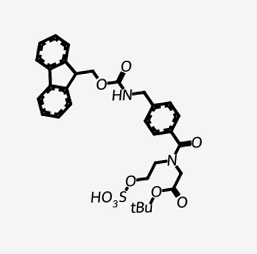 CC(C)(C)OC(=O)CN(CCOS(=O)(=O)O)C(=O)c1ccc(CNC(=O)OCC2c3ccccc3-c3ccccc32)cc1